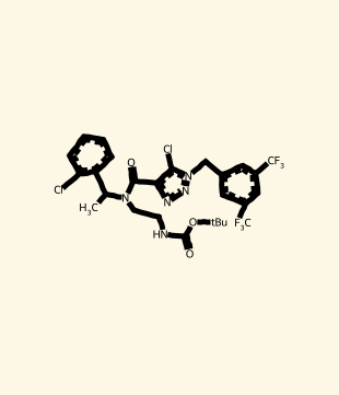 CC(c1ccccc1Cl)N(CCNC(=O)OC(C)(C)C)C(=O)c1nnn(Cc2cc(C(F)(F)F)cc(C(F)(F)F)c2)c1Cl